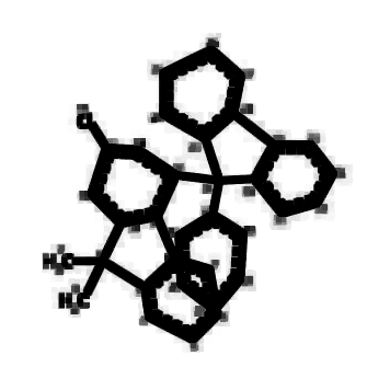 CC1(C)c2ccccc2-c2c1cc(Cl)cc2C1(c2ccccc2)c2ccccc2-c2ccccc21